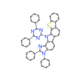 c1ccc(-c2nc(-c3ccccc3)nc(-n3c4c(ccc5c4nc(-c4ccccc4)n5-c4ccccc4)c4ccc5c6ccccc6sc5c43)n2)cc1